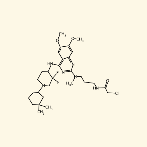 COc1cc2nc(N(C)CCCNC(=O)CCl)nc(NC3CCN(C4CCCC(C)(C)C4)CC3(F)F)c2cc1OC